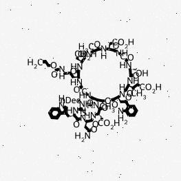 C=CCOC(=O)NCCC[C@@H]1NC(=O)CNC(=O)[C@@H](NC(=O)[C@H](CC(=O)O)NC(=O)[C@@H](CC(N)=O)NC(=O)[C@H](Cc2c[nH]c3ccccc23)NC(=S)NCCCCCCCCCC)[C@@H](C)OC(=O)[C@H](CC(=O)c2ccccc2N)NC(=O)[C@H](C(C)CC(=O)O)NC(=O)[C@@H](CO)NC(=O)CNC(=O)[C@H](CC(=O)O)NC(=O)[C@@H](C)NC(=O)[C@H](CC(=O)O)NC1=O